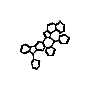 c1ccc(B(c2ccccc2)n2c(-c3ccc4c(c3)c3ccccc3n4-c3ccccc3)nc3ccc4nccnc4c32)cc1